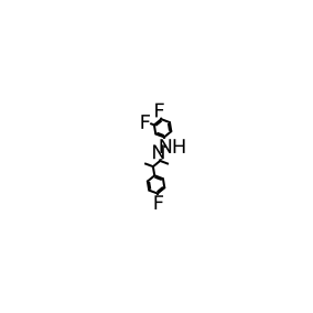 C/C(=N\Nc1ccc(F)c(F)c1)C(C)c1ccc(F)cc1